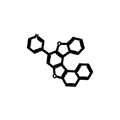 c1cncc(-c2cc3oc4ccc5ccccc5c4c3c3c2oc2ccccc23)c1